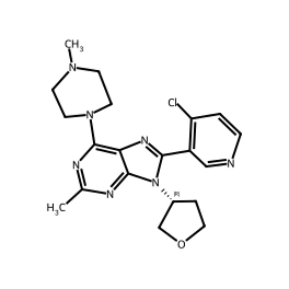 Cc1nc(N2CCN(C)CC2)c2nc(-c3cnccc3Cl)n([C@@H]3CCOC3)c2n1